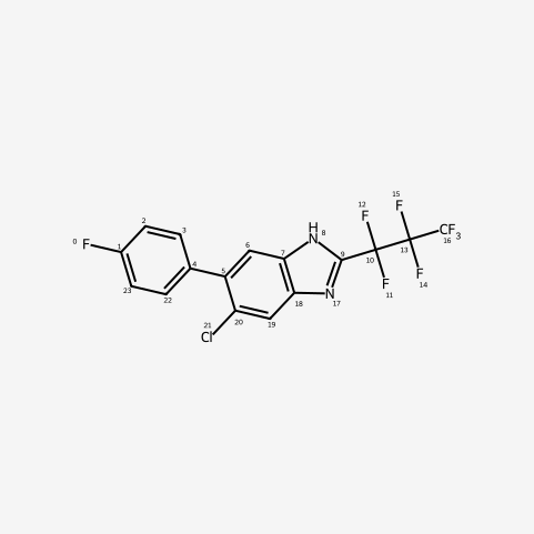 Fc1ccc(-c2cc3[nH]c(C(F)(F)C(F)(F)C(F)(F)F)nc3cc2Cl)cc1